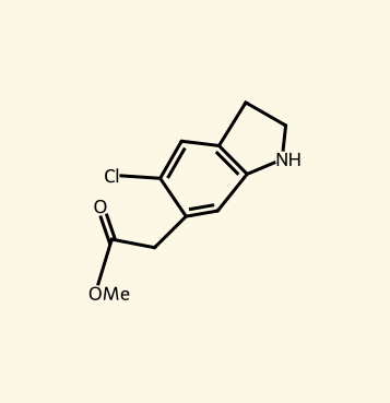 COC(=O)Cc1cc2c(cc1Cl)CCN2